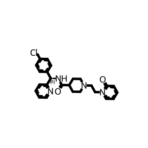 O=C(N[C@H](c1ccc(Cl)cc1)c1ccccn1)C1CCN(CCn2ccccc2=O)CC1